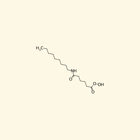 CCCCCCCCCNC(=O)CCCCC(=O)OO